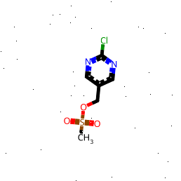 CS(=O)(=O)OCc1cnc(Cl)nc1